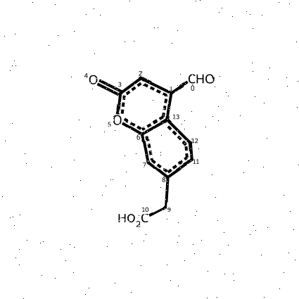 O=Cc1cc(=O)oc2cc(CC(=O)O)ccc12